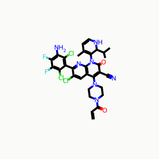 C=CC(=O)N1CCN(c2c(C#N)c(=O)n(C3=C(C)C=CNC3C(C)C)c3nc(-c4c(Cl)c(N)c(F)c(F)c4Cl)c(Cl)cc23)CC1